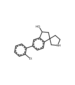 CCc1ccccc1-c1ccc2c(c1)C(O)CC21CCNC1